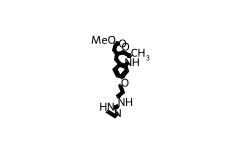 COC(=O)CC1Cc2ccc(OCCCNC3=NCCN3)cc2NC(C)C1=O